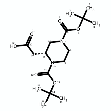 CC(C)(C)OC(=O)N1CCN(C(=O)OC(C)(C)C)[C@H](CC(=O)O)C1